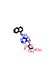 CO[C@@H]1[C@H](O)[C@@H](CO)O[C@H]1n1cnc2c(NCc3cccc4ccccc34)ncnc21